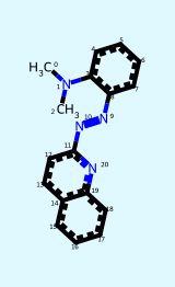 CN(C)c1ccccc1N=Nc1ccc2ccccc2n1